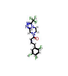 O=C(/C=C\Cc1cc(F)c(F)cc1F)N1CCn2c(nnc2C(F)(F)F)C1